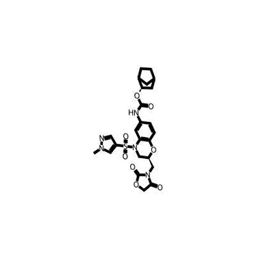 Cn1cc(S(=O)(=O)N2C[C@H](CN3C(=O)COC3=O)Oc3ccc(NC(=O)O[C@H]4CC5CCC4C5)cc32)cn1